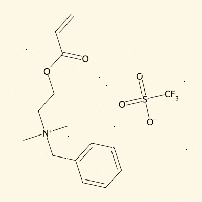 C=CC(=O)OCC[N+](C)(C)Cc1ccccc1.O=S(=O)([O-])C(F)(F)F